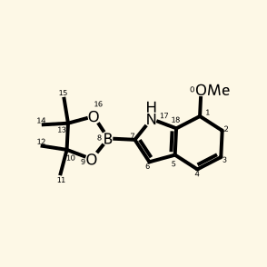 COC1CC=Cc2cc(B3OC(C)(C)C(C)(C)O3)[nH]c21